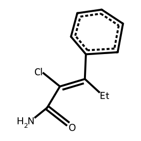 CC/C(=C(/Cl)C(N)=O)c1ccccc1